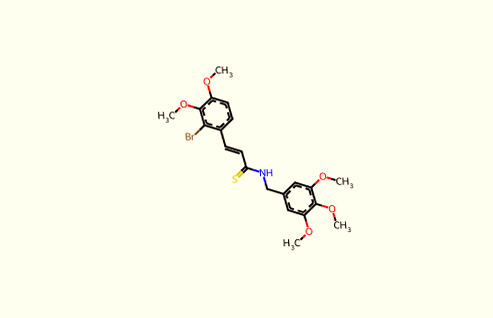 COc1cc(CNC(=S)/C=C/c2ccc(OC)c(OC)c2Br)cc(OC)c1OC